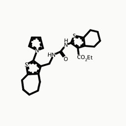 CCOC(=O)c1c(NC(=O)NCc2c(-n3cccc3)sc3c2CCCCC3)sc2c1CCCC2